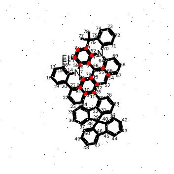 CCc1ccccc1N(c1ccccc1)c1c(CC)cccc1-c1cccc2c(-c3cccc4c3-c3ccccc3C43c4ccccc4-c4ccccc43)c3cccc(-c4cccc5c4N(c4ccccc4)c4ccccc4C5(C)C)c3cc12